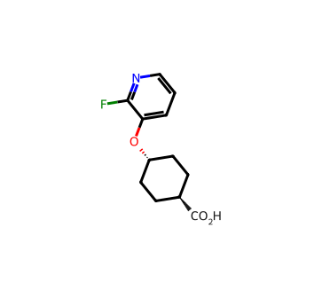 O=C(O)[C@H]1CC[C@H](Oc2cccnc2F)CC1